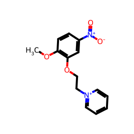 COc1ccc([N+](=O)[O-])cc1OCC[n+]1ccccc1